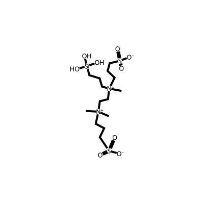 C[N+](C)(CCCS(=O)(=O)[O-])CC[N+](C)(CCC[Si](O)(O)O)CCCS(=O)(=O)[O-]